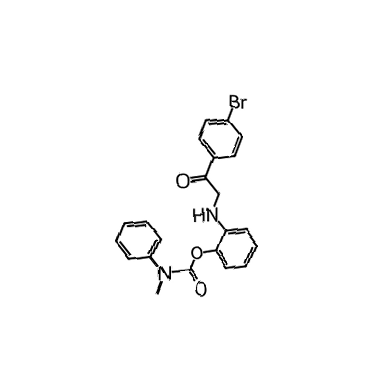 CN(C(=O)Oc1ccccc1NCC(=O)c1ccc(Br)cc1)c1ccccc1